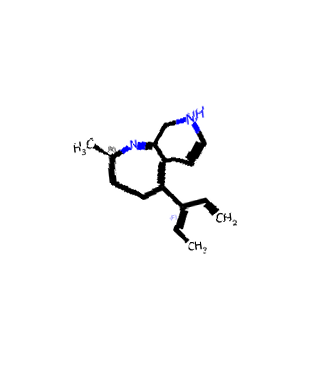 C=C/C(=C\C)C1=C2C=CNCC2=N[C@H](C)CC1